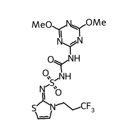 COc1nc(NC(=O)NS(=O)(=O)/N=c2/sccn2CCC(F)(F)F)nc(OC)n1